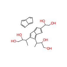 C1=CC2=CC=CC2=C1.CC(C1=CC2=CC(C(O)CO)=CC2=C1C(C)C(O)CO)C(O)CO